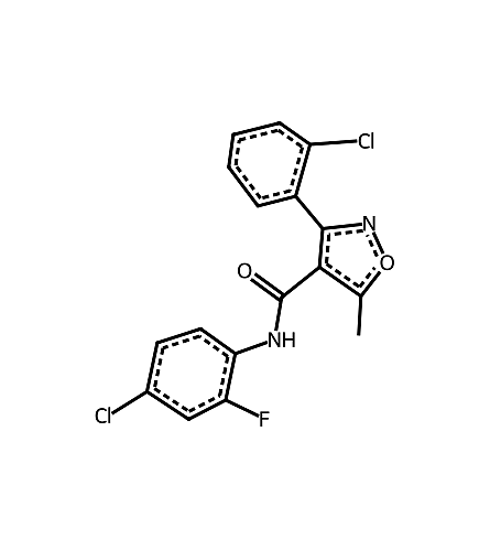 Cc1onc(-c2ccccc2Cl)c1C(=O)Nc1ccc(Cl)cc1F